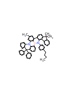 CCCCc1ccc(N2B3c4cccc5c4N(c4ccccc4C5(c4ccccc4)c4ccccc4)c4cc(C)cc(c43)-c3ccc4c(c32)-c2ccccc2C4(C)C)cc1